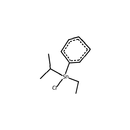 C[CH2][Sn]([Cl])([c]1ccccc1)[CH](C)C